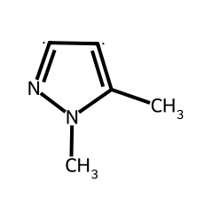 Cc1[c][c]nn1C